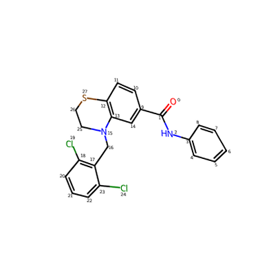 O=C(Nc1ccccc1)c1ccc2c(c1)N(Cc1c(Cl)cccc1Cl)CCS2